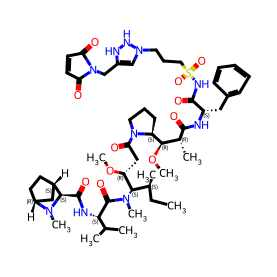 CC[C@H](C)[C@@H]([C@@H](CC(=O)N1CCC[C@H]1[C@H](OC)[C@@H](C)C(=O)N[C@@H](Cc1ccccc1)C(=O)NS(=O)(=O)CCCN1C=C(CN2C(=O)C=CC2=O)NN1)OC)N(C)C(=O)[C@@H](NC(=O)[C@@H]1[C@H]2CC[C@H](C2)N1C)C(C)C